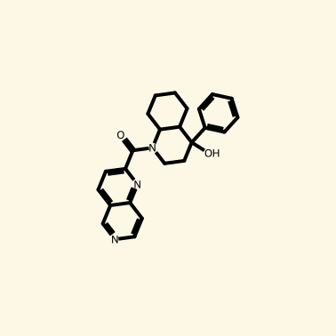 O=C(c1ccc2cnccc2n1)N1CCC(O)(c2ccccc2)C2CCCCC21